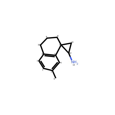 Cc1ccc2c(c1)C1(CCC2)CC1N